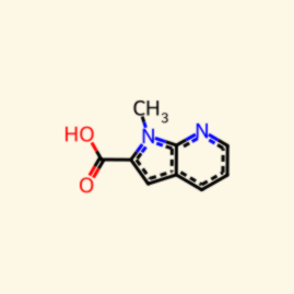 Cn1c(C(=O)O)cc2cccnc21